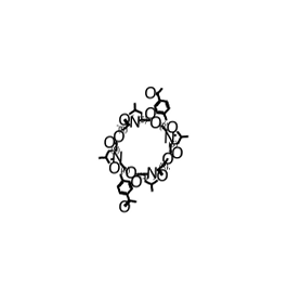 CC(=O)c1ccc(C[C@H]2OC(=O)[C@H](CC(C)C)N(C)C(=O)[C@@H](C)OC(=O)[C@H](CC(C)C)N(C)C(=O)[C@@H](Cc3ccc(C(C)=O)cc3)OC(=O)[C@H](CC(C)C)N(C)C(=O)[C@@H](C)OC(=O)[C@H](CC(C)C)N(C)C2=O)cc1